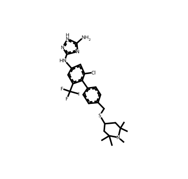 CN1C(C)(C)CC(SCc2ccc(-c3c(Cl)cc(Nc4n[nH]c(N)n4)cc3C(F)(F)I)cc2)CC1(C)C